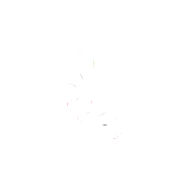 O=C(OC(=O)c1csc(C(F)F)c1)c1csc(Br)c1